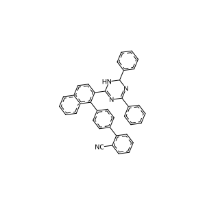 N#Cc1ccccc1-c1ccc(-c2c(C3=NC(c4ccccc4)=NC(c4ccccc4)N3)ccc3ccccc23)cc1